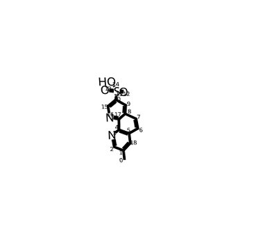 Cc1cnc2c(ccc3cc(S(=O)(=O)O)cnc32)c1